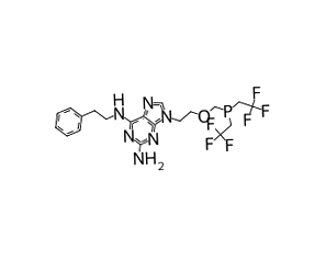 Nc1nc(NCCc2ccccc2)c2ncn(CCOCP(CC(F)(F)F)CC(F)(F)F)c2n1